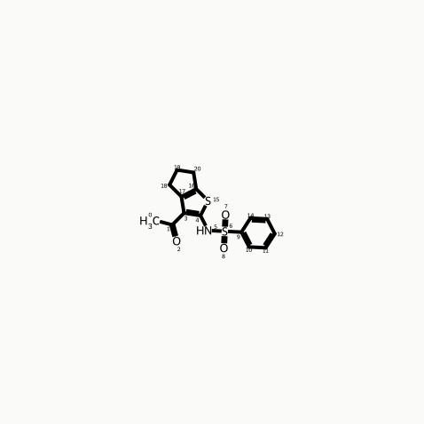 CC(=O)c1c(NS(=O)(=O)c2ccccc2)sc2c1CCC2